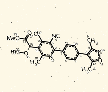 [C-]#[N+]c1c(-c2ccc(-c3c(C)noc3C)cc2)nc(C)c([C@H](OC(C)(C)C)C(=O)OC)c1Cl